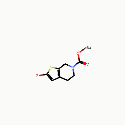 CC(C)(C)OC(=O)N1CCc2cc(Br)sc2C1